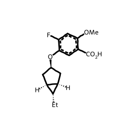 CC[C@@H]1[C@H]2C[C@@H](Oc3cc(C(=O)O)c(OC)cc3F)C[C@@H]12